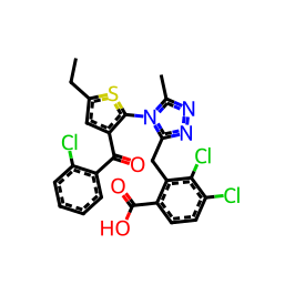 CCc1cc(C(=O)c2ccccc2Cl)c(-n2c(C)nnc2Cc2c(C(=O)O)ccc(Cl)c2Cl)s1